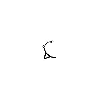 O=COC1CC1F